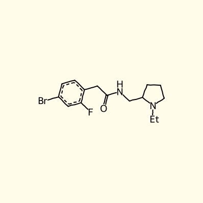 CCN1CCCC1CNC(=O)Cc1ccc(Br)cc1F